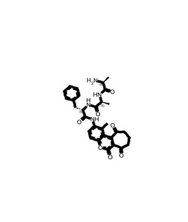 Cc1c(NC(=O)[C@H](Cc2ccccc2)NC(=O)[C@H](C)NC(=O)[C@H](C)N)ccc2oc(=O)c3c(c12)C(=O)CCCC3=O